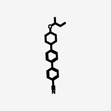 CCC(C)OC1CCC(c2ccc(-c3ccc(C#N)cc3)cc2)CC1